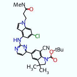 CNC(=O)CCn1ccc2c(Nc3nccc(-c4cc(C#N)c5c(c4)C(C)(C)CN5C(=O)OC(C)(C)C)n3)cc(Cl)cc21